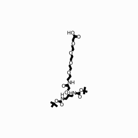 CC(C)(C)OC(=O)NCC(CNC(=O)OC(C)(C)C)OCC(=O)NCCOCCOCCOCCOCC(=O)O